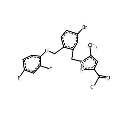 Cc1cc(C(=O)Cl)nn1Cc1cc(Br)ccc1COc1ccc(F)cc1F